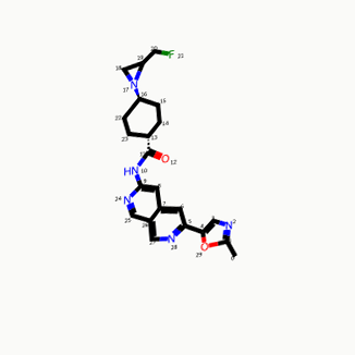 Cc1ncc(-c2cc3cc(NC(=O)[C@H]4CC[C@H](N5CC5CF)CC4)ncc3cn2)o1